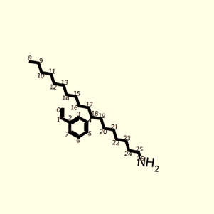 C=Cc1ccccc1.CCCCCCCCCCCCCCCCCCN